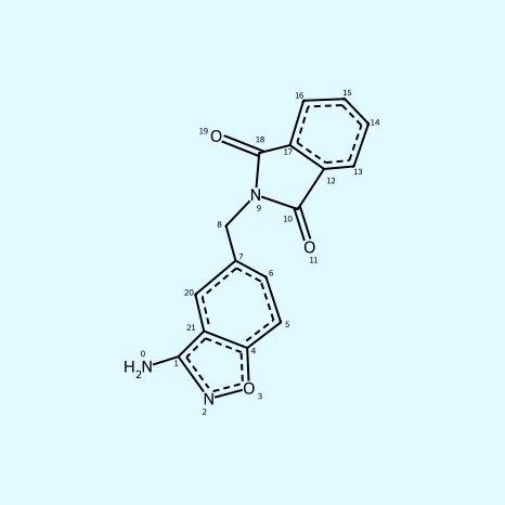 Nc1noc2ccc(CN3C(=O)c4ccccc4C3=O)cc12